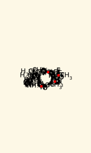 CO[C@@H](C)c1ncccc1-c1c2c3cc(ccc3n1CC(F)(F)F)[C@H]1CCCN(C1)C[C@H](NC(=O)[C@H](C(C)C)N(C)C(=O)N1C[C@@H]3OCCN[C@@H]3C1)C(=O)N1CCC[C@H](N1)C(=O)OCC(C)(C)C2